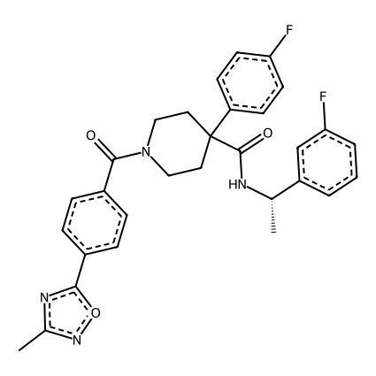 Cc1noc(-c2ccc(C(=O)N3CCC(C(=O)N[C@@H](C)c4cccc(F)c4)(c4ccc(F)cc4)CC3)cc2)n1